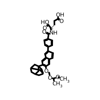 COC(C)OCOc1cc2ccc(-c3ccc(C(=O)N[C@@H](CCC(=O)O)C(=O)O)cc3)cc2cc1C12CC3CC(CC(C3)C1)C2